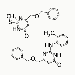 CSc1nc(COCc2ccccc2)cc(=O)[nH]1.Cc1ccccc1Nc1nc(COCc2ccccc2)cc(=O)[nH]1